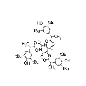 CC(C(=O)On1c(=O)n(OC(=O)C(C)c2cc(C(C)(C)C)c(O)c(C(C)(C)C)c2)c(=O)n(OC(=O)C(C)c2cc(C(C)(C)C)c(O)c(C(C)(C)C)c2)c1=O)c1cc(C(C)(C)C)c(O)c(C(C)(C)C)c1